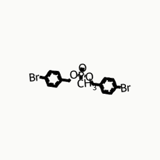 CP(=O)(OCc1ccc(Br)cc1)OCc1ccc(Br)cc1